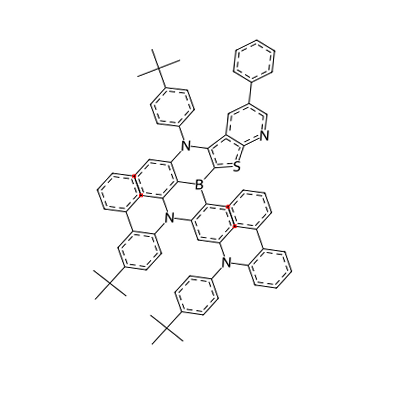 CC(C)(C)c1ccc(N(c2ccc3c(c2)N(c2ccc(C(C)(C)C)cc2-c2ccccc2)c2cccc4c2B3c2sc3ncc(-c5ccccc5)cc3c2N4c2ccc(C(C)(C)C)cc2)c2ccccc2-c2ccccc2)cc1